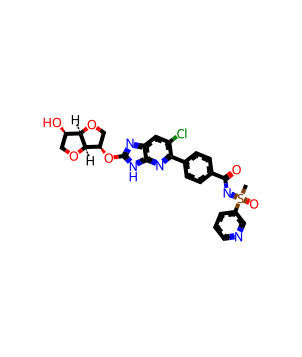 CS(=O)(=NC(=O)c1ccc(-c2nc3[nH]c(O[C@@H]4CO[C@H]5[C@@H]4OC[C@H]5O)nc3cc2Cl)cc1)c1cccnc1